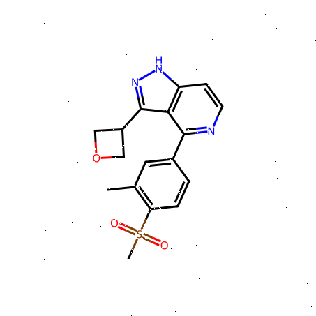 Cc1cc(-c2nccc3[nH]nc(C4COC4)c23)ccc1S(C)(=O)=O